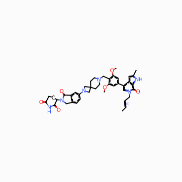 C/C=C/Cn1cc(-c2cc(OC)c(CN3CCC4(CC3)CN(c3ccc5c(c3)C(=O)N(C3CCC(=O)NC3=O)C5)C4)c(OC)c2)c2cc(C)[nH]c2c1=O